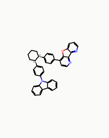 c1cnc2c(c1)oc1c(-c3ccc([C@@H]4CCCC[C@@H]4c4ccc(-n5c6ccccc6c6ccccc65)cc4)cc3)ccnc12